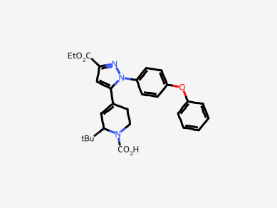 CCOC(=O)c1cc(C2=CC(C(C)(C)C)N(C(=O)O)CC2)n(-c2ccc(Oc3ccccc3)cc2)n1